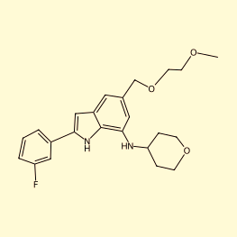 COCCOCc1cc(NC2CCOCC2)c2[nH]c(-c3cccc(F)c3)cc2c1